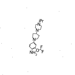 CC(C)N1CCN(C2CCN(c3ccc(N)c(OC(F)F)c3)CC2)CC1